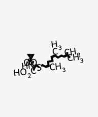 CC(C)=CCCC(C)=CCCC(C)=CCSCC(NS(=O)(=O)C1CC1)C(=O)O